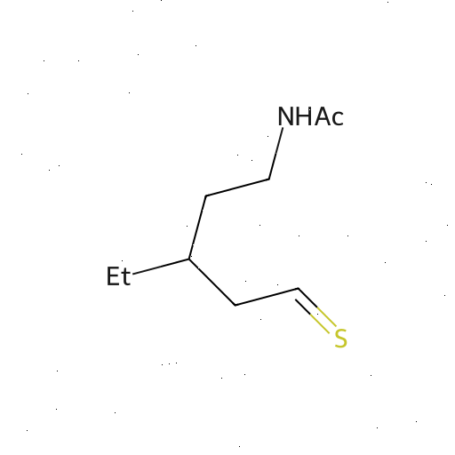 CCC(CC=S)CCNC(C)=O